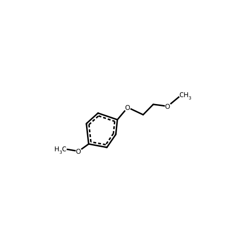 COCCOc1ccc(OC)cc1